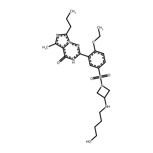 CCCc1nc(C)c2c(=O)[nH]c(-c3cc(S(=O)(=O)N4CC(NCCCCO)C4)ccc3OCC)nn12